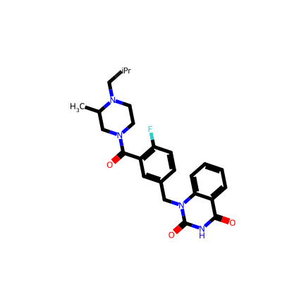 CC(C)CN1CCN(C(=O)c2cc(Cn3c(=O)[nH]c(=O)c4ccccc43)ccc2F)CC1C